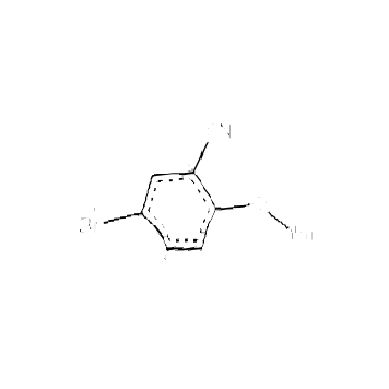 CCC(C)Oc1ccc(Br)cc1C#N